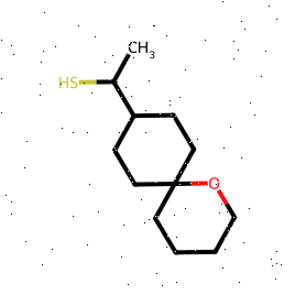 CC(S)C1CCC2(CCCCO2)CC1